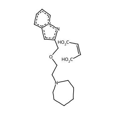 O=C(O)/C=C\C(=O)O.c1ccn2nc(COCCN3CCCCCC3)cc2c1